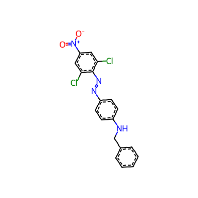 O=[N+]([O-])c1cc(Cl)c(/N=N/c2ccc(NCc3ccccc3)cc2)c(Cl)c1